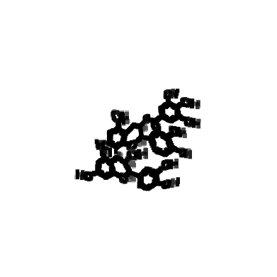 O=C(O[C@@H]1Cc2c(O)cc(O)c([C@H]3c4c(O)cc(O)cc4O[C@H](c4ccc(O)c(O)c4)[C@@H]3O)c2O[C@@H]1c1ccc(O)c(O)c1)c1cc(O)c(O)c(O)c1